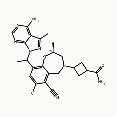 Cc1nn(C(C)c2cc(Cl)c(C#N)c3c2O[C@@H](C)CN(C2CC(C(N)=O)C2)C3)c2ncnc(N)c12